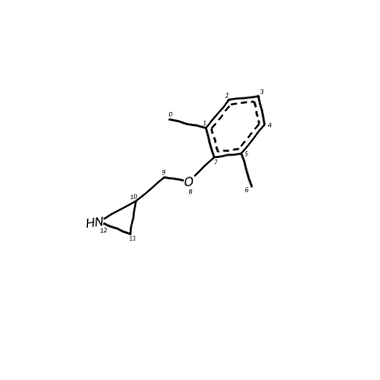 Cc1cccc(C)c1OCC1CN1